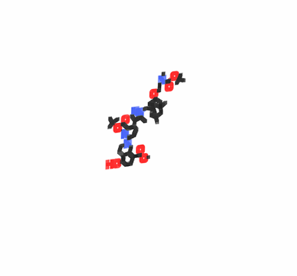 COC(=O)c1ccc(O)c2c1CN(c1ccc(-c3cnn(CC45CC6(C)CC(C)(C4)CC(OCCN(C)C(=O)OC(C)(C)C)(C6)C5)c3C)c(C(=O)OC(C)(C)C)n1)CC2